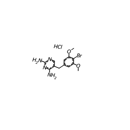 COc1cc(Cc2cnc(N)nc2N)cc(OC)c1Br.Cl